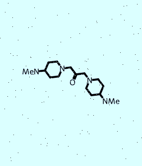 CNC1CCN(CC(=O)CN2CCC(NC)CC2)CC1